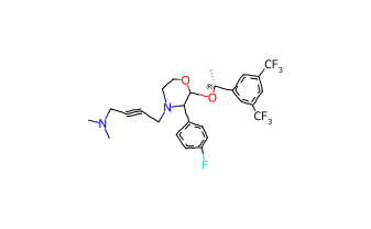 C[C@@H](OC1OCCN(CC#CCN(C)C)C1c1ccc(F)cc1)c1cc(C(F)(F)F)cc(C(F)(F)F)c1